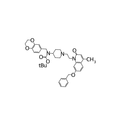 Cc1cc(=O)n(CCN2CCC(N(Cc3ccc4c(c3)OCCO4)C(=O)OC(C)(C)C)CC2)c2cc(OCc3ccccc3)ccc12